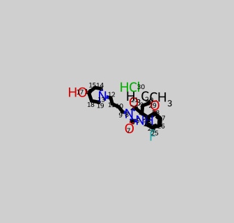 CC1(C)CC2(NC(=O)N(CCCCN3CCC(O)CC3)C2=O)c2cc(F)ccc2O1.Cl